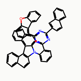 c1ccc(-n2c3ccc4ccccc4c3c3c4ccccc4ccc32)c(-c2nc(-c3ccc4ccccc4c3)nc(-c3cccc4oc5ccccc5c34)n2)c1